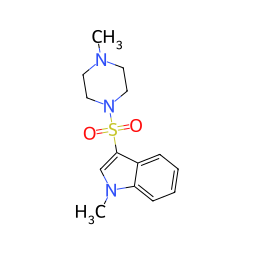 CN1CCN(S(=O)(=O)c2cn(C)c3ccccc23)CC1